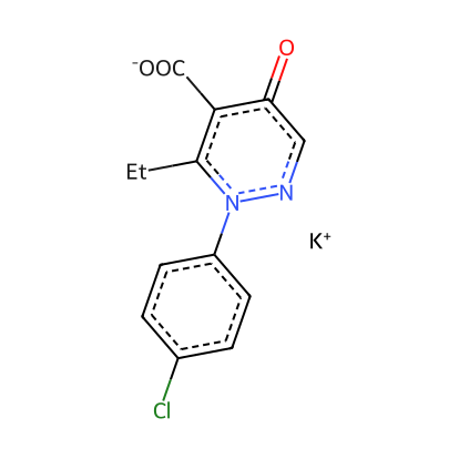 CCc1c(C(=O)[O-])c(=O)cnn1-c1ccc(Cl)cc1.[K+]